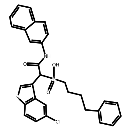 O=C(Nc1ccc2ccccc2c1)C(c1csc2ccc(Cl)cc12)P(=O)(O)CCCCc1ccccc1